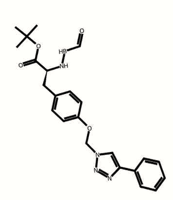 CC(C)(C)OC(=O)[C@H](Cc1ccc(OCn2cc(-c3ccccc3)nn2)cc1)NBC=O